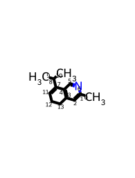 Cc1cc2c(cn1)C(C(C)C)=CCC2